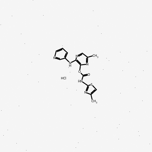 Cc1csc(NC(=O)Oc2nc(C)cnc2Nc2cccnc2)n1.Cl